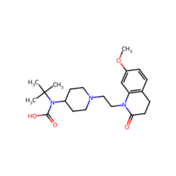 COc1ccc2c(c1)N(CCN1CCC(N(C(=O)O)C(C)(C)C)CC1)C(=O)CC2